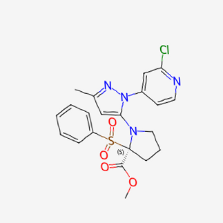 COC(=O)[C@@]1(S(=O)(=O)c2ccccc2)CCCN1c1cc(C)nn1-c1ccnc(Cl)c1